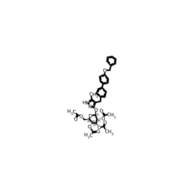 CC(=O)OC[C@H]1O[C@@H](Oc2n[nH]c(C)c2Cc2ccc(-c3ccc(OCc4ccccc4)cc3)cc2)[C@H](OC(C)=O)[C@@H](OC(C)=O)[C@@H]1OC(C)=O